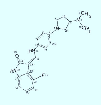 CN(C)C1CCN(c2ccc(NC=C3C(=O)Nc4cccc(F)c43)cc2)C1